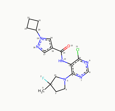 CC1(F)CCN(c2ncnc(Cl)c2NC(=O)c2cnn(C3CCC3)c2)C1